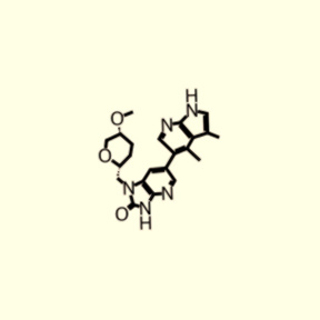 CO[C@@H]1CC[C@H](Cn2c(=O)[nH]c3ncc(-c4cnc5[nH]cc(C)c5c4C)cc32)OC1